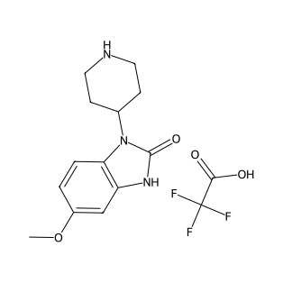 COc1ccc2c(c1)[nH]c(=O)n2C1CCNCC1.O=C(O)C(F)(F)F